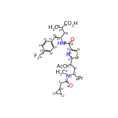 CC(=O)OC(CC(C(C)C)N(C)C(=O)CC1CC1)c1nc(C(=O)N[C@@H](Cc2ccc(C(F)(F)F)cc2)CC(C)C(=O)O)cs1